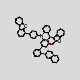 c1cc(-c2ccccc2-c2ccc3ccccc3c2)cc(N(c2ccc(-c3cccc4c3oc3ccccc34)cc2)c2ccccc2-c2cccc3oc4ccccc4c23)c1